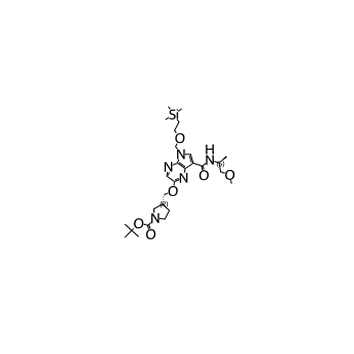 COC[C@H](C)NC(=O)c1cn(COCC[Si](C)(C)C)c2ncc(OC[C@@H]3CCN(C(=O)OC(C)(C)C)C3)nc12